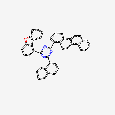 c1ccc2c(-c3nc(-c4cccc5c4ccc4c6ccccc6ccc54)nc(-c4cccc5oc6ccccc6c45)n3)cccc2c1